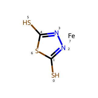 Sc1nnc(S)s1.[Fe]